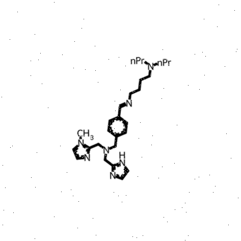 CCCN(CCC)CCCCN=Cc1ccc(CN(Cc2ncc[nH]2)Cc2nccn2C)cc1